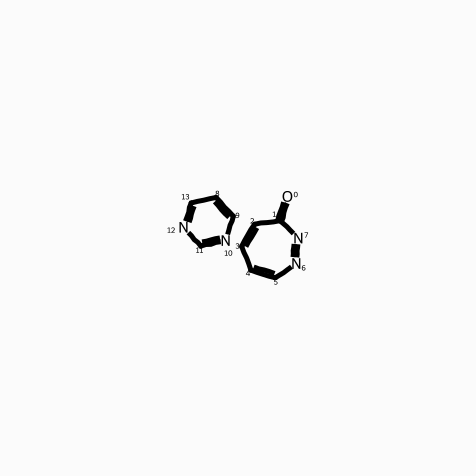 O=c1ccccnn1.c1cncnc1